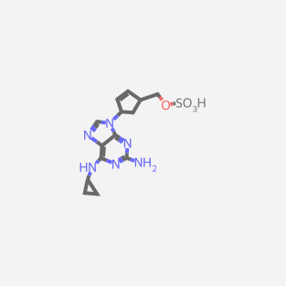 Nc1nc(NC2CC2)c2ncn(C3C=CC(COS(=O)(=O)O)C3)c2n1